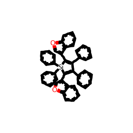 c1ccc(C2=C(c3coc4ccccc34)[Si](c3ccccc3)(c3ccccc3)C(c3coc4ccccc34)=C2c2ccccc2)cc1